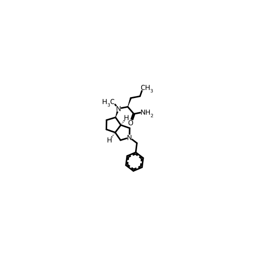 CCC[C@@H](C(N)=O)N(C)[C@@H]1CC[C@@H]2CN(Cc3ccccc3)C[C@@H]21